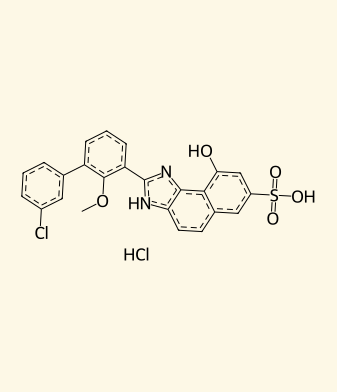 COc1c(-c2cccc(Cl)c2)cccc1-c1nc2c(ccc3cc(S(=O)(=O)O)cc(O)c32)[nH]1.Cl